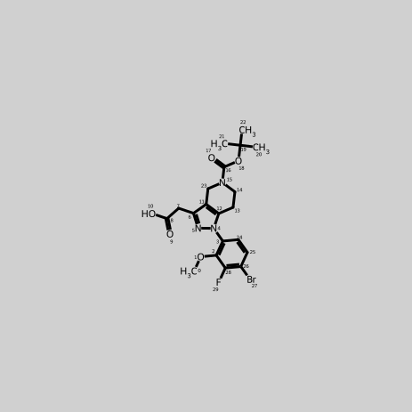 COc1c(-n2nc(CC(=O)O)c3c2CCN(C(=O)OC(C)(C)C)C3)ccc(Br)c1F